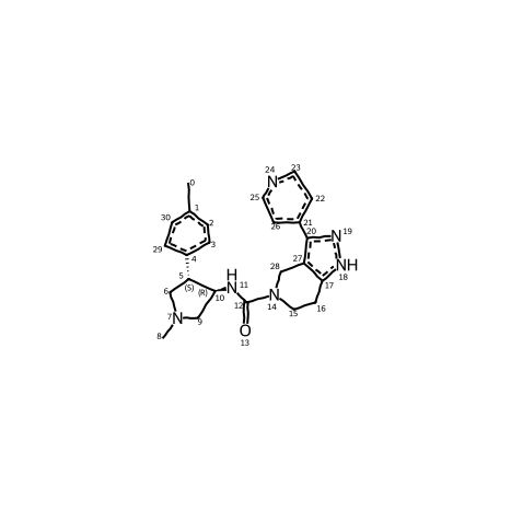 Cc1ccc([C@H]2CN(C)C[C@@H]2NC(=O)N2CCc3[nH]nc(-c4ccncc4)c3C2)cc1